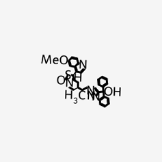 COc1ccc2nccc([C@@H]3SC(=O)N4CC[C@H]([C@@H](C)Cn5cc(C(O)(c6ccccc6)c6ccccc6)nn5)C[C@@H]34)c2c1